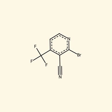 N#Cc1c(C(F)(F)F)ccnc1Br